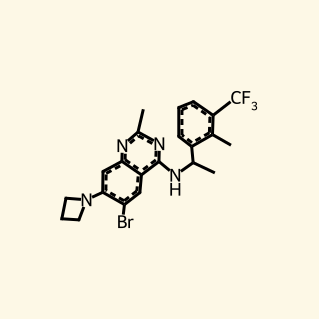 Cc1nc(NC(C)c2cccc(C(F)(F)F)c2C)c2cc(Br)c(N3CCC3)cc2n1